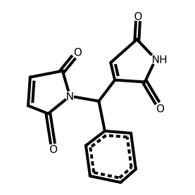 O=C1C=C(C(c2ccccc2)N2C(=O)C=CC2=O)C(=O)N1